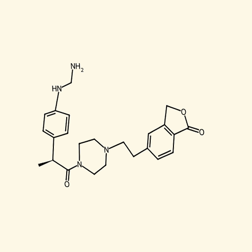 C[C@H](C(=O)N1CCN(CCc2ccc3c(c2)COC3=O)CC1)c1ccc(NCN)cc1